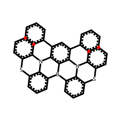 c1ccc(-c2cc(-c3ccccc3)c3c4c2N2c5ccccc5Sc5cccc(c52)B4c2cccc4c2N3c2ccccc2S4)cc1